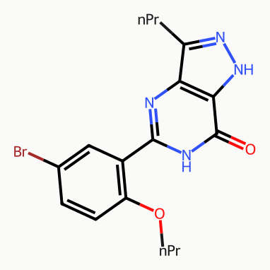 CCCOc1ccc(Br)cc1-c1nc2c(CCC)n[nH]c2c(=O)[nH]1